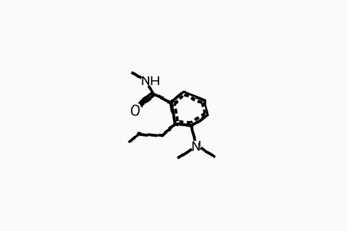 CCCc1c(C(=O)NC)cccc1N(C)C